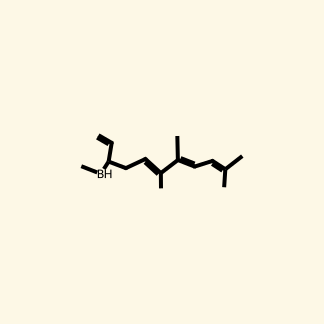 C=CC(BC)C/C=C(C)/C(C)=C/C=C(C)C